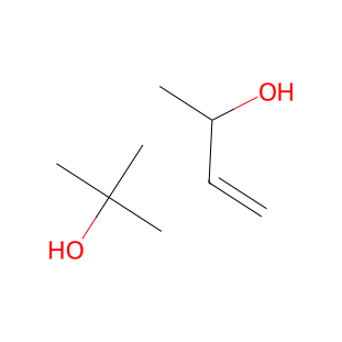 C=CC(C)O.CC(C)(C)O